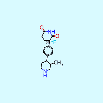 CC1CNCCC1c1ccc([C@]2(F)CCC(=O)NC2=O)cc1